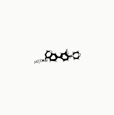 O=C(O)NC1CCOc2cc(-c3ccc(N4CCOCC4)c(F)c3)ccc21